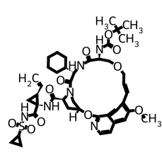 C=C[C@@H]1C[C@]1(NC(=O)[C@@H]1C[C@@H]2CN1C(=O)[C@H](C1CCCCC1)NC(=O)[C@@H](NC(=O)OC(C)(C)C)COC/C=C/c1cc3c(nccc3cc1OC)O2)C(=O)NS(=O)(=O)C1CC1